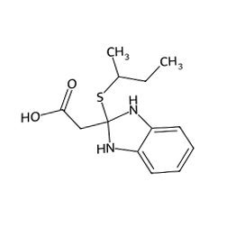 CCC(C)SC1(CC(=O)O)Nc2ccccc2N1